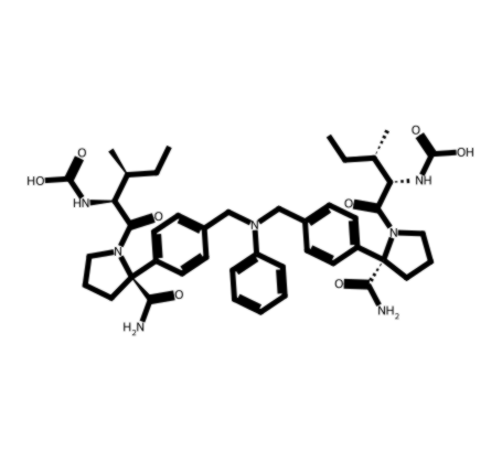 CC[C@H](C)[C@H](NC(=O)O)C(=O)N1CCC[C@@]1(C(N)=O)c1ccc(CN(Cc2ccc([C@]3(C(N)=O)CCCN3C(=O)[C@@H](NC(=O)O)[C@@H](C)CC)cc2)c2ccccc2)cc1